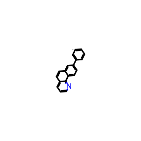 [c]1cccc(-c2ccc3c(ccc4cccnc43)c2)c1